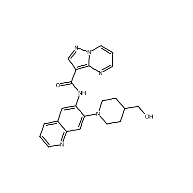 O=C(Nc1cc2cccnc2cc1N1CCC(CO)CC1)c1cnn2cccnc12